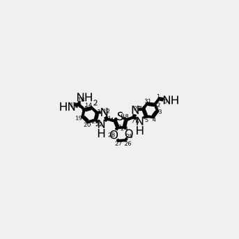 N=Cc1ccc2[nH]c(-c3sc(-c4nc5cc(C(=N)N)ccc5[nH]4)c4c3OCCO4)nc2c1